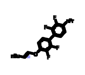 CCCC/C=C/Oc1ccc(-c2ccc(CCC)c(F)c2F)c(F)c1F